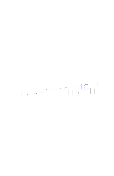 CCCCCCCCCCCCCCCCN(CC)C(C)C